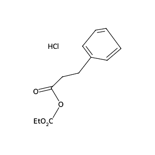 CCOC(=O)OC(=O)CCc1ccccc1.Cl